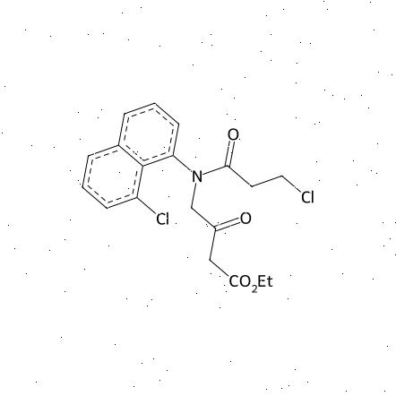 CCOC(=O)CC(=O)CN(C(=O)CCCl)c1cccc2cccc(Cl)c12